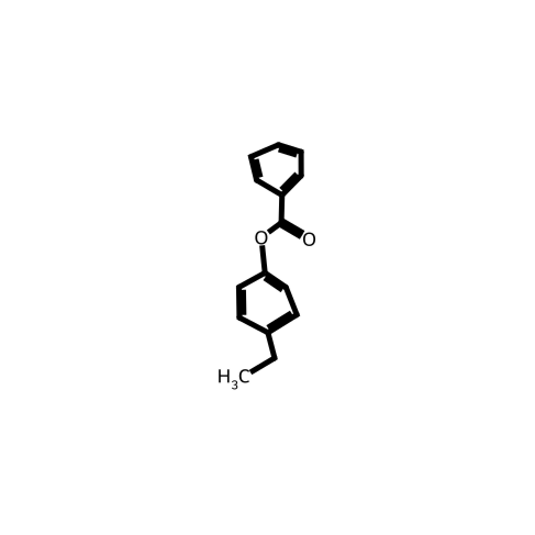 CCc1ccc(OC(=O)c2ccccc2)cc1